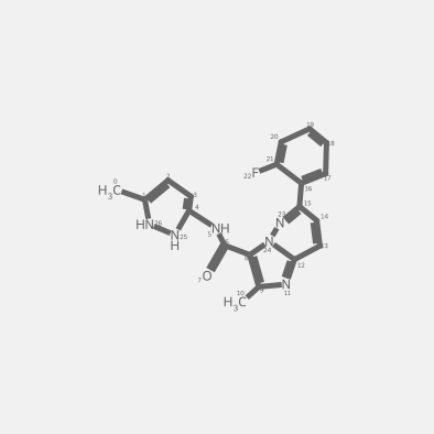 CC1=CC=C(NC(=O)c2c(C)nc3ccc(-c4ccccc4F)nn23)NN1